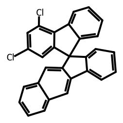 Clc1cc(Cl)c2c(c1)C1(c3ccccc3-c3cc4ccccc4cc31)c1ccccc1-2